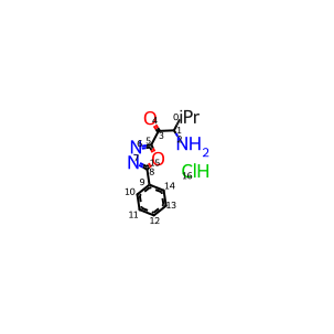 CC(C)C(N)C(=O)c1nnc(-c2ccccc2)o1.Cl